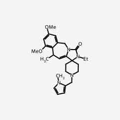 CCN1C(=O)N2Cc3cc(OC)cc(OC)c3C(C)C=C2C12CCN(Cc1cccn1C)CC2